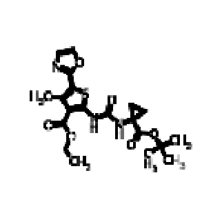 CCOC(=O)c1c(NC(=O)NC2(C(=O)OC(C)(C)C)CC2)sc(-c2ncco2)c1C